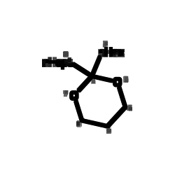 CCCCCCCC1(CCCCCC)OCCCO1